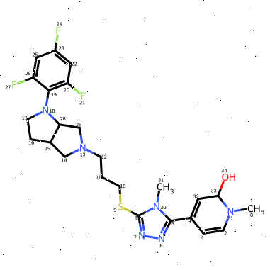 CN1C=CC(c2nnc(SCCCN3CC4CCN(c5c(F)cc(F)cc5F)C4C3)n2C)=CC1O